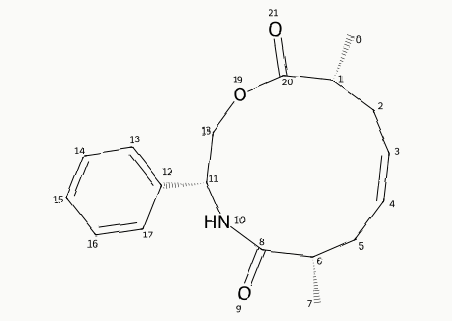 C[C@@H]1CC=CC[C@H](C)C(=O)N[C@H](c2ccccc2)COC1=O